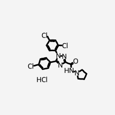 Cl.O=C(NN1CCCC1)c1nc(-c2ccc(Cl)cc2)n(-c2ccc(Cl)cc2Cl)n1